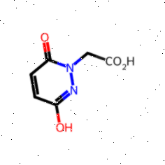 O=C(O)Cn1nc(O)ccc1=O